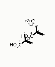 C=C(C)C(=O)O.C=C(C)C(=O)O.[Li+].[Zn+2]